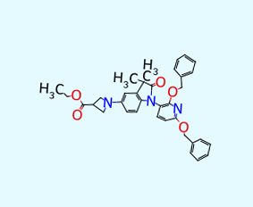 CCOC(=O)C1CN(c2ccc3c(c2)C(C)(C)C(=O)N3c2ccc(OCc3ccccc3)nc2OCc2ccccc2)C1